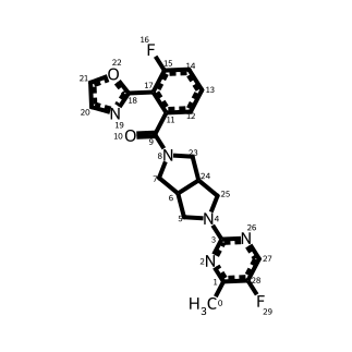 Cc1nc(N2CC3CN(C(=O)c4cccc(F)c4-c4ncco4)CC3C2)ncc1F